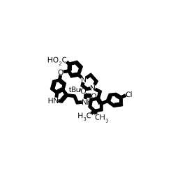 CC1(C)CCC(CN2CCN(c3ccc(C(=O)O)c(Oc4ccc5[nH]cc(CCNC(=O)OC(C)(C)C)c5c4)c3)CC2)=C(c2ccc(Cl)cc2)C1